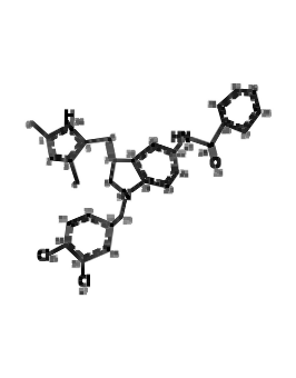 Cc1cc(C)c(C=C2CN(Cc3ccc(Cl)c(Cl)c3)c3ccc(NC(=O)c4ccccc4)cc32)[nH]1